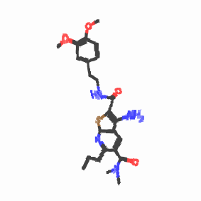 CCCc1nc2sc(C(=O)NCCc3ccc(OC)c(OC)c3)c(N)c2cc1C(=O)N(C)C